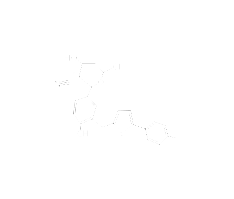 Cc1ccc(C2OC(C)CC(O)[C@H]2C#N)cc1Cc1ccc(-c2ccc(F)cc2)s1